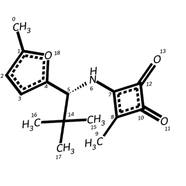 Cc1ccc([C@H](Nc2c(C)c(=O)c2=O)C(C)(C)C)o1